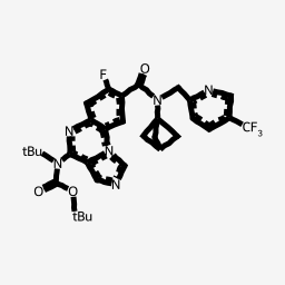 CC(C)(C)OC(=O)N(c1nc2cc(F)c(C(=O)N(Cc3ccc(C(F)(F)F)cn3)C34CC(C3)C4)cc2n2cncc12)C(C)(C)C